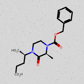 C[C@H]1C(=O)N([C@@H](CCC(=O)O)C(=O)O)CCN1C(=O)OCc1ccccc1